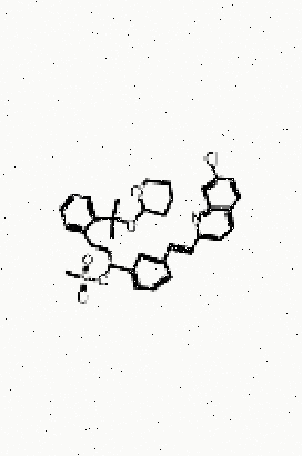 CC(C)(OC1CCCCO1)c1ccccc1CC[C@H](OS(C)(=O)=O)c1cccc(C=Cc2ccc3ccc(Cl)cc3n2)c1